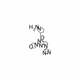 NN1CCCC(COc2nc(N3CCOCC3)nc3c2CCN3c2cncnc2)C1